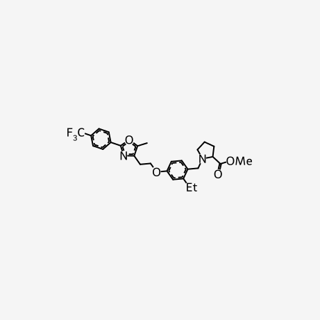 CCc1cc(OCCc2nc(-c3ccc(C(F)(F)F)cc3)oc2C)ccc1CN1CCCC1C(=O)OC